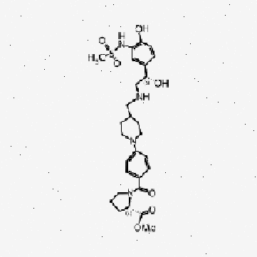 COC(=O)[C@@H]1CCCN1C(=O)c1ccc(N2CCC(CNC[C@@H](O)c3ccc(O)c(NS(C)(=O)=O)c3)CC2)cc1